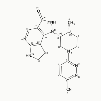 C[C@@H]1CCN(c2ccc(C#N)nn2)C[C@@H]1n1[nH]c(=O)c2cnc3c(c21)CCN3